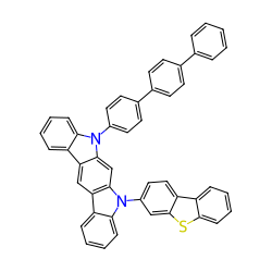 c1ccc(-c2ccc(-c3ccc(-n4c5ccccc5c5cc6c7ccccc7n(-c7ccc8c(c7)sc7ccccc78)c6cc54)cc3)cc2)cc1